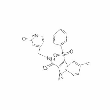 O=C(NCc1cc[nH]c(=O)c1)c1[nH]c2ccc(Cl)cc2c1S(=O)(=O)c1ccccc1